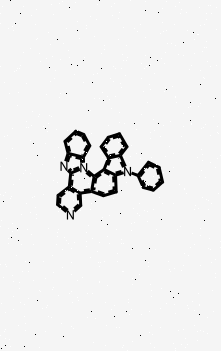 c1ccc(-n2c3ccccc3c3c2ccc2c4cnccc4c4nc5ccccc5n4c23)cc1